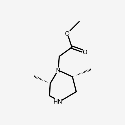 COC(=O)CN1[C@H](C)CNC[C@@H]1C